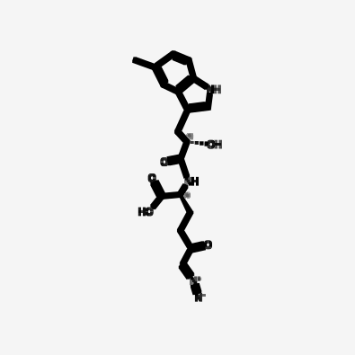 Cc1ccc2[nH]cc(C[C@H](O)C(=O)N[C@@H](CCC(=O)C=[N+]=[N-])C(=O)O)c2c1